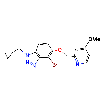 COc1ccnc(COc2ccc3c(nnn3CC3CC3)c2Br)c1